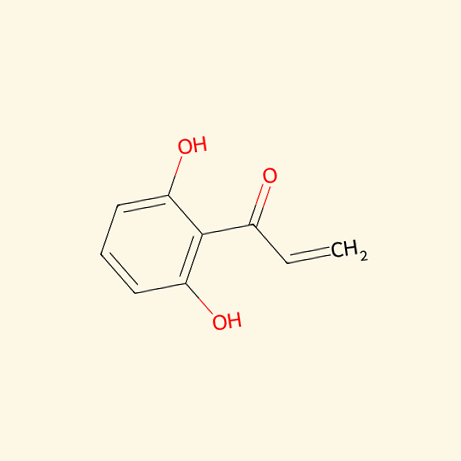 C=CC(=O)c1c(O)cccc1O